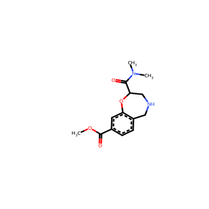 COC(=O)c1ccc2c(c1)OC(C(=O)N(C)C)CNC2